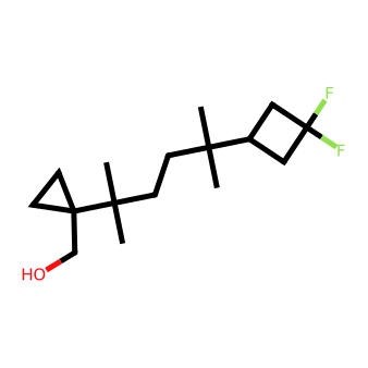 CC(C)(CCC(C)(C)C1(CO)CC1)C1CC(F)(F)C1